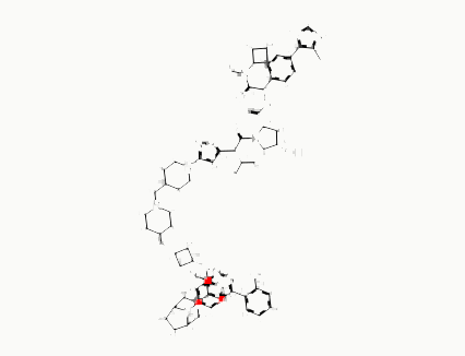 Cc1ncsc1-c1ccc([C@@H](NC(=O)[C@@H]2C[C@@H](O)CN2C(=O)[C@H](c2cc(N3CCC(CN4CCC(O[C@H]5C[C@H](Oc6cc(N7C8CCC7CN(c7cc(-c9ccccc9O)nnc7N)C8)ccn6)C5)CC4)CC3)no2)C(C)C)C(=O)N(C)C2CCC2)cc1